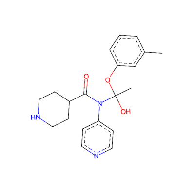 Cc1cccc(OC(C)(O)N(C(=O)C2CCNCC2)c2ccncc2)c1